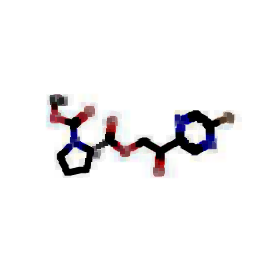 CC(C)(C)OC(=O)N1CCC[C@H]1C(=O)OCC(=O)c1cnc(Br)cn1